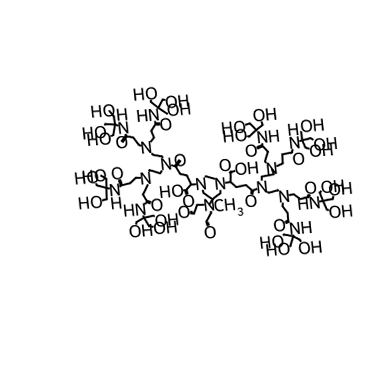 CC1(N(CC=O)CC=O)CN(C(CCC(=O)N(CCN(CCC(=O)NC(CO)(CO)CO)CCC(=O)NC(CO)(CO)CO)CCN(CCC(=O)NC(CO)(CO)CO)CCC(=O)NC(CO)(CO)CO)C(=O)O)CCN(C(CCC(=O)N(CCN(CCC(=O)NC(CO)(CO)CO)CCC(=O)NC(CO)(CO)CO)CCN(CCC(=O)NC(CO)(CO)CO)CCC(=O)NC(CO)(CO)CO)C(=O)O)C1